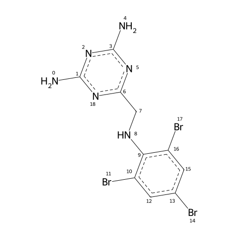 Nc1nc(N)nc(CNc2c(Br)cc(Br)cc2Br)n1